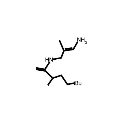 C=C(NC/C(C)=C/N)C(C)CCC(C)CC